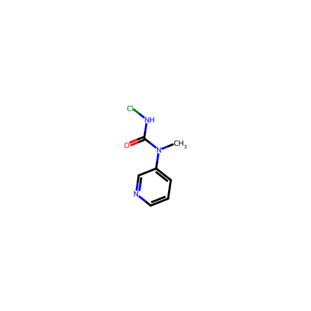 CN(C(=O)NCl)c1cccnc1